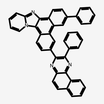 c1ccc(-c2ccc3c(c2)c2cc(-c4nc5ccc6ccccc6c5nc4-c4ccccc4)ccc2c2c3nc3ccccn32)cc1